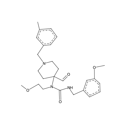 COCCN(C(=O)NCc1cccc(OC)c1)C1(C=O)CCN(Cc2cccc(C)c2)CC1